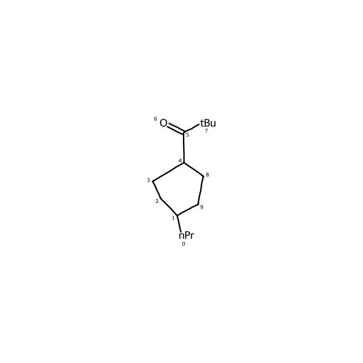 CCCC1CCC(C(=O)C(C)(C)C)CC1